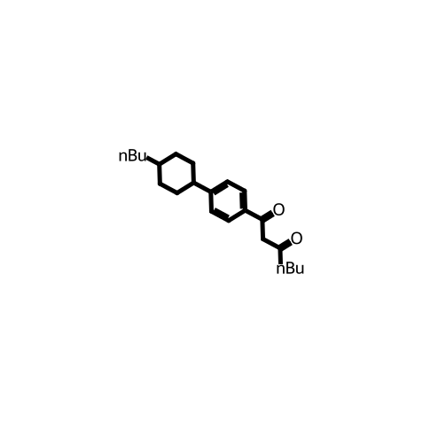 CCCCC(=O)CC(=O)c1ccc(C2CCC(CCCC)CC2)cc1